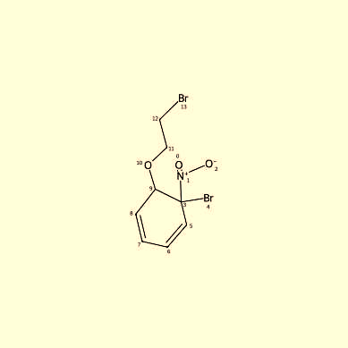 O=[N+]([O-])C1(Br)C=CC=CC1OCCBr